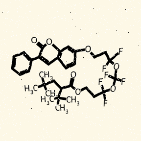 CC(C)(C)CC(C(=O)OCCC(F)(F)OC(F)(F)OC(F)(F)CCOc1ccc2cc(-c3ccccc3)c(=O)oc2c1)C(C)(C)C